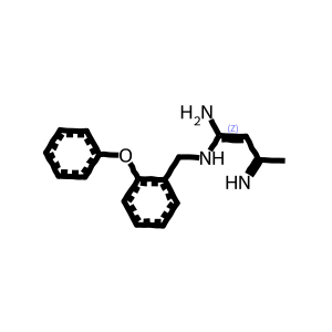 CC(=N)/C=C(/N)NCc1ccccc1Oc1ccccc1